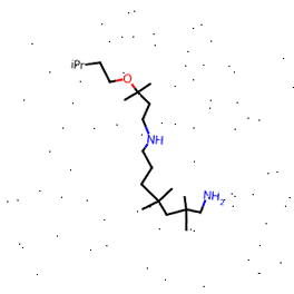 CC(C)CCOC(C)(C)CCNCCCC(C)(C)CC(C)(C)CN